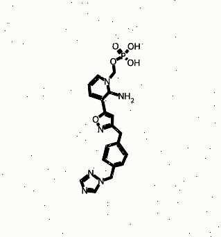 NC1C(c2cc(Cc3ccc(Cn4cncn4)cc3)no2)=CC=CN1COP(=O)(O)O